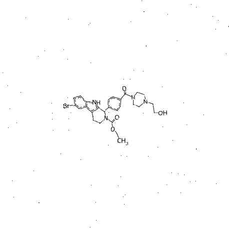 CCOC(=O)N1CCc2c([nH]c3ccc(Br)cc23)C1c1ccc(C(=O)N2CCN(CCO)CC2)cc1